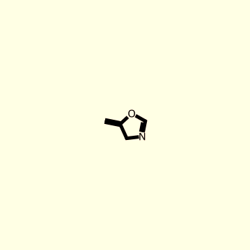 C=C1CN=CO1